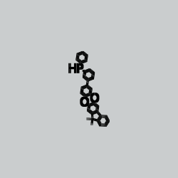 CC1(C)c2ccccc2-c2cc3c(cc21)Oc1ccc(-c2cccc(Pc4ccccc4)c2)cc1O3